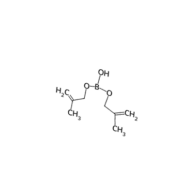 C=C(C)COB(O)OCC(=C)C